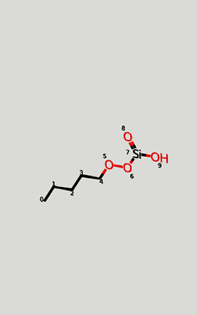 CCCCCOO[Si](=O)O